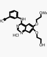 C#Cc1cccc(Nc2ncnc3cc(OCCO)c(OCCOC)cc23)c1.Cl